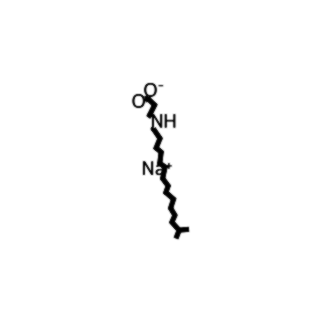 CC(C)CCCCCCCCCCCCCNCCC(=O)[O-].[Na+]